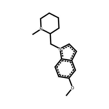 COc1ccc2c(ccn2CC2CCCCN2C)c1